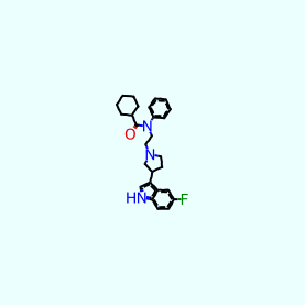 O=C(C1CCCCC1)N(CCN1CCC(c2c[nH]c3ccc(F)cc23)C1)c1ccccc1